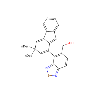 CCCCCCCCCCC1(CCCCCCCCCC)C=C2C(=Cc3ccccc32)C(c2c(CO)ccc3nsnc23)=C1